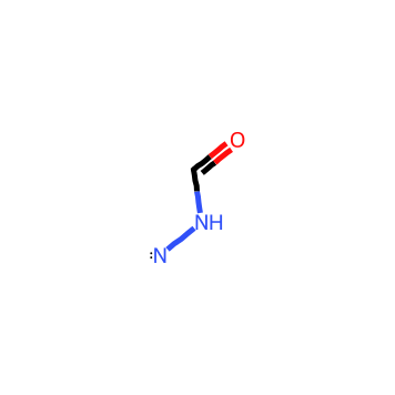 [N]NC=O